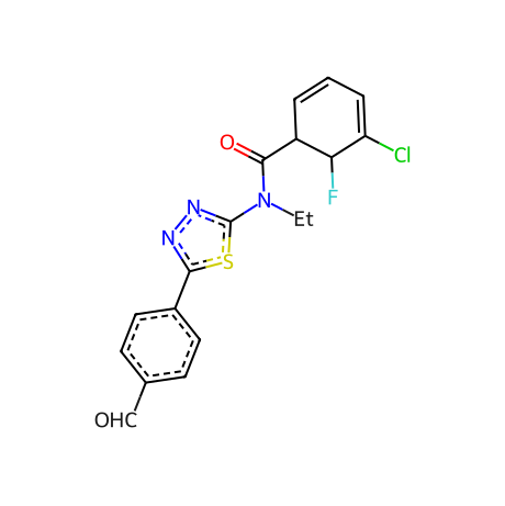 CCN(C(=O)C1C=CC=C(Cl)C1F)c1nnc(-c2ccc(C=O)cc2)s1